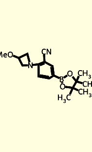 COC1CN(c2ccc(B3OC(C)(C)C(C)(C)O3)cc2C#N)C1